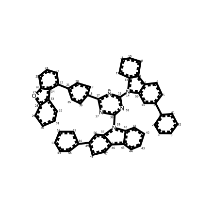 c1ccc(-c2ccc3c4ccccc4n(-c4nc(-c5ccc(-c6cccc7oc8ccccc8c67)cc5)nc(-n5c6ccccc6c6ccc(-c7ccccc7)cc65)n4)c3c2)cc1